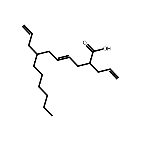 C=CCC(CC=CCC(CC=C)C(=O)O)CCCCCC